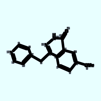 COc1ccc2c(Cc3ccncc3)n[nH]c(=O)c2c1